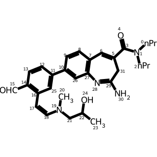 CCCN(CCC)C(=O)C1=Cc2ccc(-c3ccc(C=O)c(/C=C\N(C)CC(C)O)c3)cc2N=C(N)C1